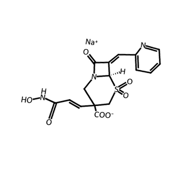 O=C(C=CC1(C(=O)[O-])CN2C(=O)C(=Cc3ccccn3)[C@H]2S(=O)(=O)C1)NO.[Na+]